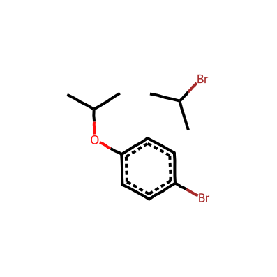 CC(C)Br.CC(C)Oc1ccc(Br)cc1